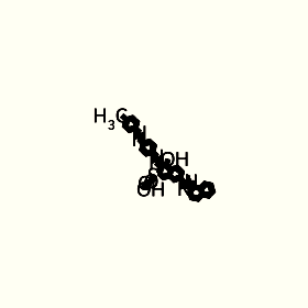 Cc1ccc(N=Nc2ccc(N=Nc3c(SOOO)cc4cc(-n5nc6ccc7ccccc7c6n5)ccc4c3O)cc2)cc1